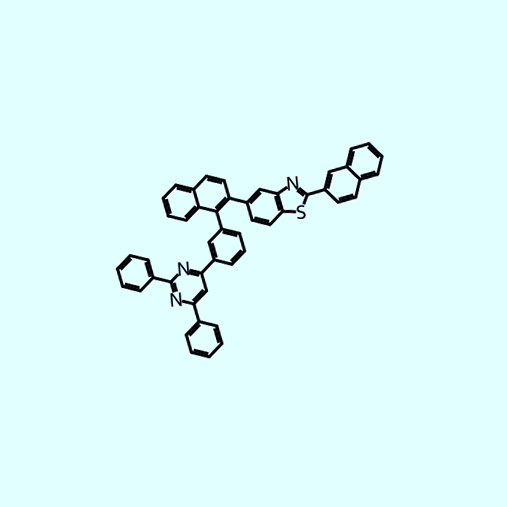 c1ccc(-c2cc(-c3cccc(-c4c(-c5ccc6sc(-c7ccc8ccccc8c7)nc6c5)ccc5ccccc45)c3)nc(-c3ccccc3)n2)cc1